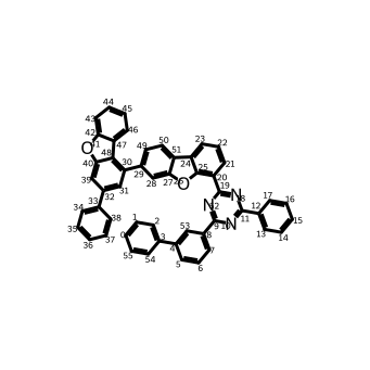 c1ccc(-c2cccc(-c3nc(-c4ccccc4)nc(-c4cccc5c4oc4cc(-c6cc(-c7ccccc7)cc7oc8ccccc8c67)ccc45)n3)c2)cc1